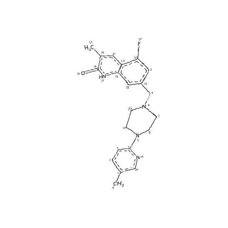 Cc1ccc(N2CCN(Cc3cc(F)c4cc(C)c(=O)[nH]c4c3)CC2)nc1